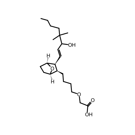 CCCCC(C)(C)C(O)/C=C/[C@H]1[C@@H](CCCCOCC(=O)O)[C@H]2CC[C@@H]1O2